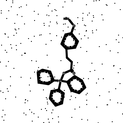 CCCCOc1ccc(CCC(=O)O[PH](c2ccccc2)(c2ccccc2)c2ccccc2)cc1